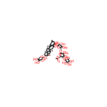 C=C1CC[C@]2(C(=O)O[C@@H]3O[C@H](CO[C@@H]4O[C@H](COC(C)=O)[C@@H](O[C@@H]5O[C@@H](C)[C@H](O)[C@@H](O)[C@H]5O)[C@H](O)[C@H]4O)[C@@H](O)[C@H](O)[C@H]3O)CC[C@]3(C)C(=CC[C@H]4[C@H]3CC[C@H]3C(C)(C)[C@@H](O[C@@H]5OC[C@H](O)[C@H](O)[C@H]5O)CC[C@]43C)[C@@H]2C1